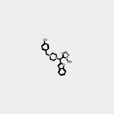 CCCCn1nnnc1C(c1cc2ccccc2o1)N1CCN(Cc2ccc(C#N)cc2)CC1